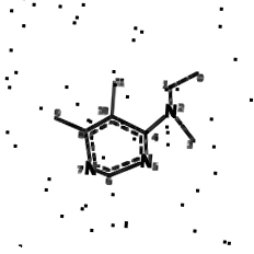 CCN(C)c1ncnc(C)c1C